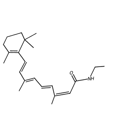 CCNC(=O)/C=C(/C)C=CC=C(C)C=CC1=C(C)CCCC1(C)C